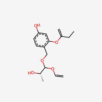 C=COC(OCc1ccc(O)cc1OC(=C)CC)[C@H](C)O